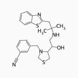 CC(C)(Cc1nc2ccccc2s1)NCC(O)C1CSCN1Cc1cccc(C#N)c1